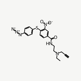 C#CCN(CC)CCNC(=O)c1ccc(Sc2ccc(N=[N+]=[N-])cc2)c([N+](=O)[O-])c1